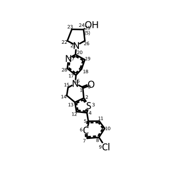 O=C1c2sc(-c3ccc(Cl)cc3)cc2CCN1c1ccc(N2CC[C@H](O)C2)nc1